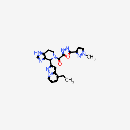 CCc1cccn2nc(C3c4nc[nH]c4CCN3C(=O)c3nnc(-c4ccn(C)n4)o3)cc12